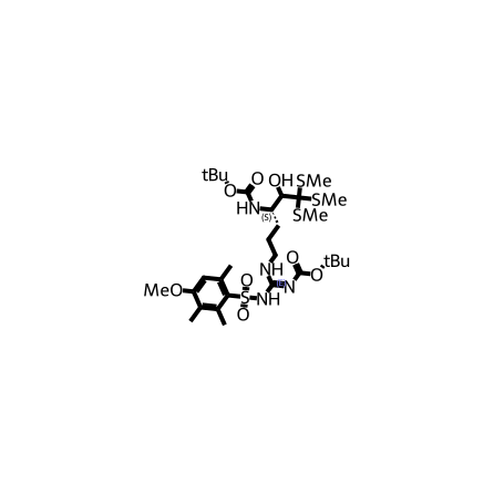 COc1cc(C)c(S(=O)(=O)N/C(=N/C(=O)OC(C)(C)C)NCCC[C@H](NC(=O)OC(C)(C)C)C(O)C(SC)(SC)SC)c(C)c1C